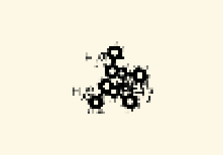 Cc1ccccc1-c1cccc2c1C=C(c1ccccc1)[CH]2[Hf]([CH]1C(c2ccccc2)=Cc2c(-c3ccccc3C)cccc21)[SiH](C)C